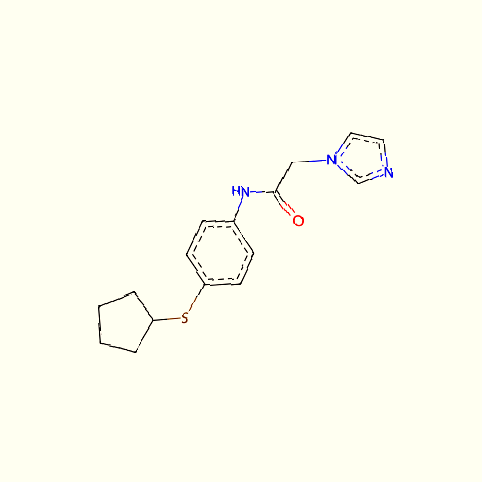 O=C(Cn1ccnc1)Nc1ccc(SC2CCCC2)cc1